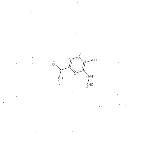 CCC(O)c1ccc(O)c(NC=O)c1